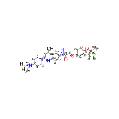 Cc1cc(N2CCC(N(C)C)CC2)nc2ccc(NC(=O)COc3ccc(OC(SF)(SF)SF)cc3)cc12